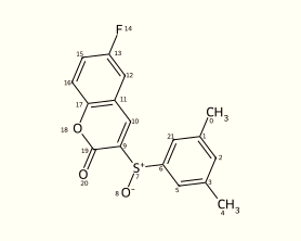 Cc1cc(C)cc([S+]([O-])c2cc3cc(F)ccc3oc2=O)c1